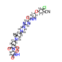 N#Cc1ccc(O[C@H]2CC[C@H](NC(=O)c3cnc(N4CCN([C@H]5CC6CN(c7ccc8c(c7)C(=O)N(C7CCC(=O)NC7=O)C8=O)C[C@H]6C5)CC4)cn3)CC2)cc1Cl